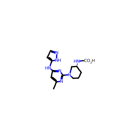 Cc1cc(Nc2ccn[nH]2)nc(N2CCC[C@@H](NC(=O)O)C2)n1